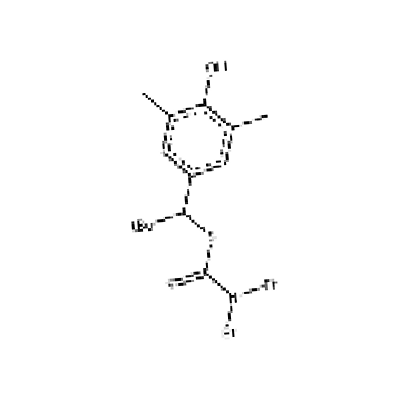 CCN(CC)C(=S)SC(c1cc(C)c(O)c(C)c1)C(C)(C)C